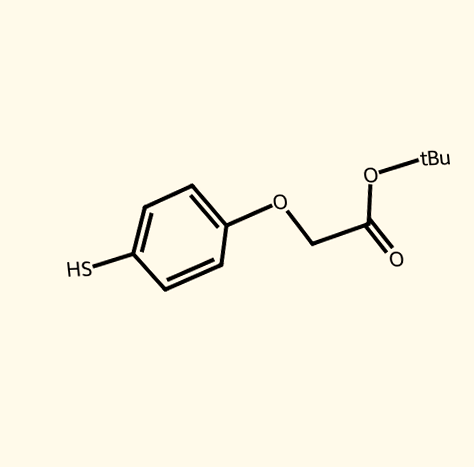 CC(C)(C)OC(=O)COc1ccc(S)cc1